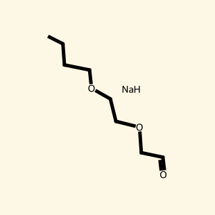 CCCCOCCOCC=O.[NaH]